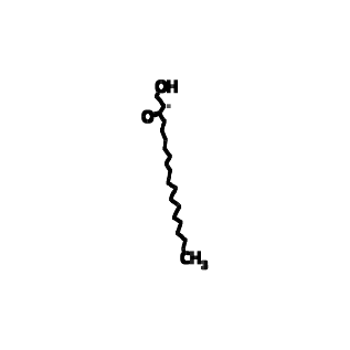 CCCCCCCCCCCCCCCCCC(=O)[CH]CO